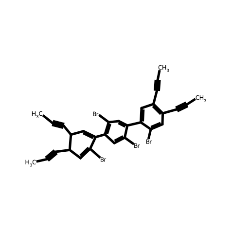 CC#Cc1cc(Br)c(-c2cc(Br)c(C3=CC(C#CC)C(C#CC)C=C3Br)cc2Br)cc1C#CC